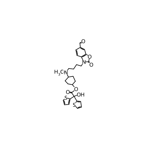 CN(CCCCn1c(=O)oc2cc(C=O)ccc21)C1CCC(OC(=O)C(O)(c2cccs2)c2cccs2)CC1